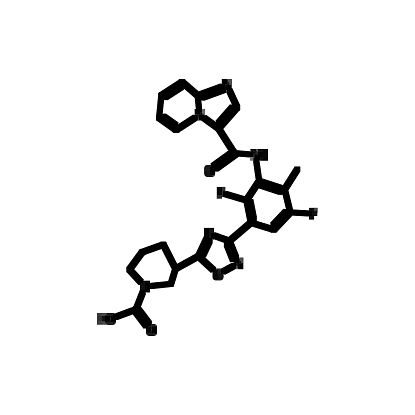 Cc1c(F)cc(-c2noc(C3CCCN(C(=O)O)C3)n2)c(F)c1NC(=O)c1cnc2ccccn12